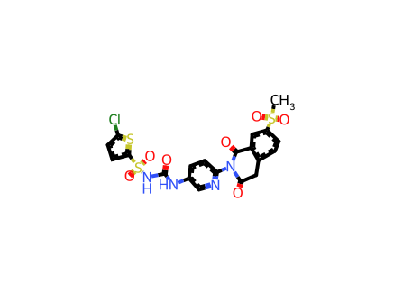 CS(=O)(=O)c1ccc2c(c1)C(=O)N(c1ccc(NC(=O)NS(=O)(=O)c3ccc(Cl)s3)cn1)C(=O)C2